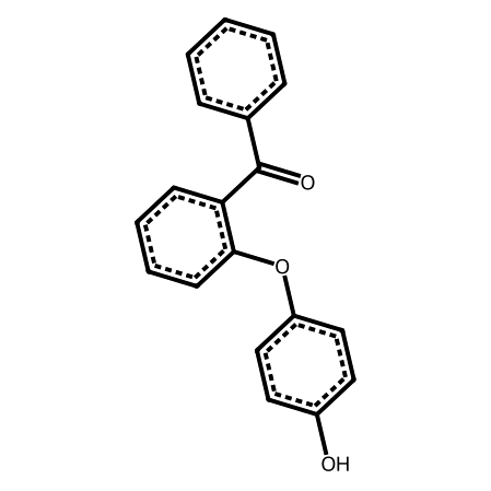 O=C(c1ccccc1)c1ccccc1Oc1ccc(O)cc1